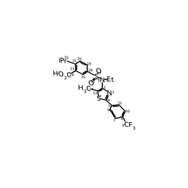 CCN(c1nc(-c2ccc(C(F)(F)F)cc2)sc1C)S(=O)(=O)c1ccc(C(C)C)c(C(=O)O)c1